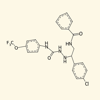 O=C(NNC(CNC(=O)c1ccccc1)c1ccc(Cl)cc1)Nc1ccc(OC(F)(F)F)cc1